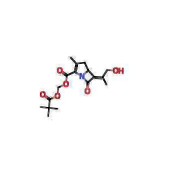 CC(CO)=C1C(=O)N2C(C(=O)OCOC(=O)C(C)(C)C)=C(C)CC12